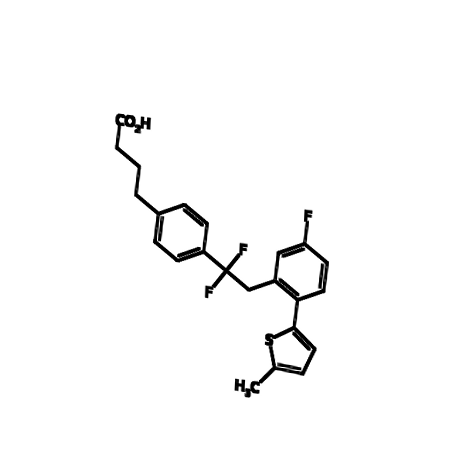 Cc1ccc(-c2ccc(F)cc2CC(F)(F)c2ccc(CCCC(=O)O)cc2)s1